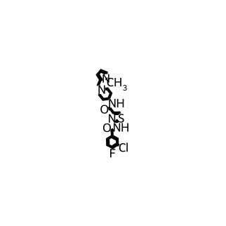 Cn1cccc1CN1CCC(NC(=O)c2csc(NC(=O)c3ccc(F)c(Cl)c3)n2)CC1